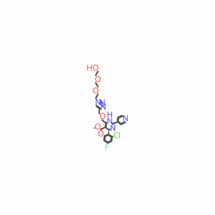 COC(=O)C1=C(COCc2cn(CCOCCOCCO)nn2)NC(c2ccncc2)=N[C@H]1c1ccc(F)cc1Cl